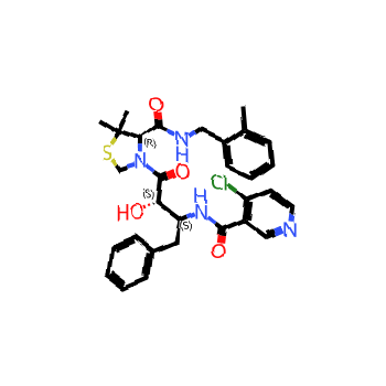 Cc1ccccc1CNC(=O)[C@H]1N(C(=O)[C@@H](O)[C@H](Cc2ccccc2)NC(=O)c2cnccc2Cl)CSC1(C)C